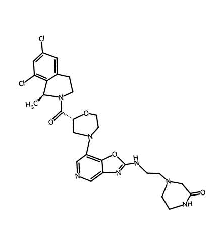 C[C@H]1c2c(Cl)cc(Cl)cc2CCN1C(=O)[C@H]1CN(c2cncc3nc(NCCN4CCNC(=O)C4)oc23)CCO1